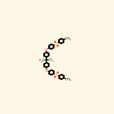 Cc1ccc(S(=O)(=O)c2ccc(Oc3ccc(C(c4ccc(Oc5ccc(S(=O)(=O)c6ccc(C)cc6)cc5)cc4)(C(F)(F)F)C(F)(F)F)cc3)cc2)cc1